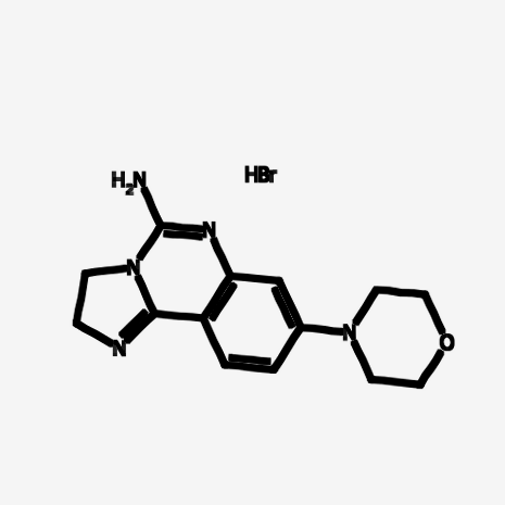 Br.NC1=Nc2cc(N3CCOCC3)ccc2C2=NCCN12